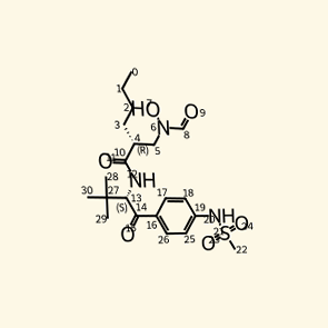 CCCC[C@H](CN(O)C=O)C(=O)N[C@H](C(=O)c1ccc(NS(C)(=O)=O)cc1)C(C)(C)C